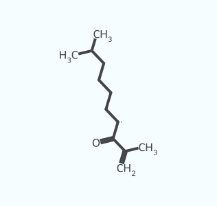 C=C(C)C(=O)[CH]CCCCC(C)C